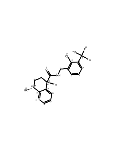 O=C(NCc1cccc(C(F)(F)F)c1Cl)[C@@]1(F)CC[C@@H](O)c2ncccc21